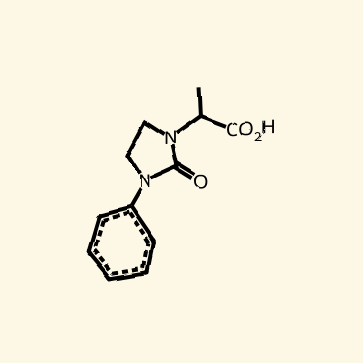 CC(C(=O)O)N1CCN(c2ccccc2)C1=O